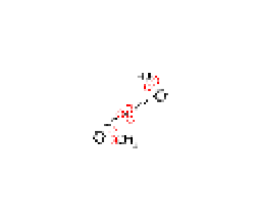 COC(=O)c1ccccc1CCCCOC(=O)OCCCCc1ccccc1C(=O)OC